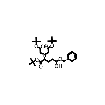 CC(C)(C)OC(=O)CN(CC(O)OC(C)(C)C)C(CCC(O)OC[C@H]1C=CC=CC1)C(=O)OC(C)(C)C